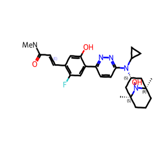 CNC(=O)/C=C/c1cc(O)c(-c2ccc(N(C3CC3)[C@H]3C[C@]4(C)CCC[C@](C)(C3)N4O)nn2)cc1F